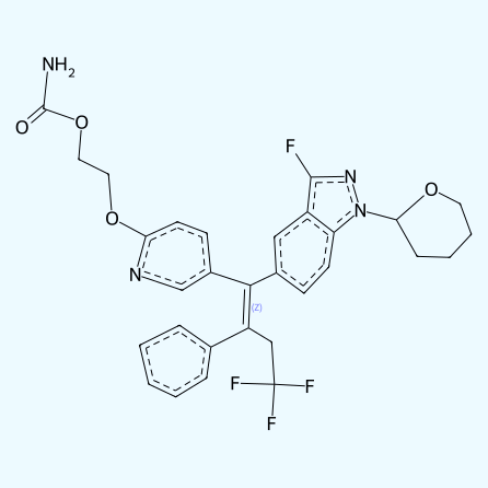 NC(=O)OCCOc1ccc(/C(=C(/CC(F)(F)F)c2ccccc2)c2ccc3c(c2)c(F)nn3C2CCCCO2)cn1